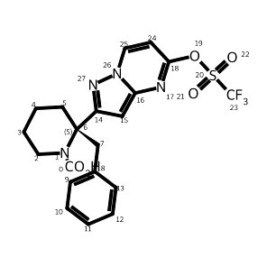 O=C(O)N1CCCC[C@]1(Cc1ccccc1)c1cc2nc(OS(=O)(=O)C(F)(F)F)ccn2n1